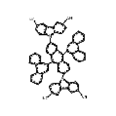 N#Cc1ccc2c(c1)c1cc(C#N)ccc1n2-c1ccc2c(-c3cc4ccccc4c4ccccc34)c3cc(-n4c5ccc(C#N)cc5c5cc(C#N)ccc54)ccc3c(-c3cc4ccccc4c4ccccc34)c2c1